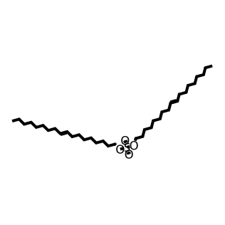 CCCCCCCC/C=C/CCCCCCCCOS(=O)(=O)OCCCCCCCC/C=C/CCCCCCCC